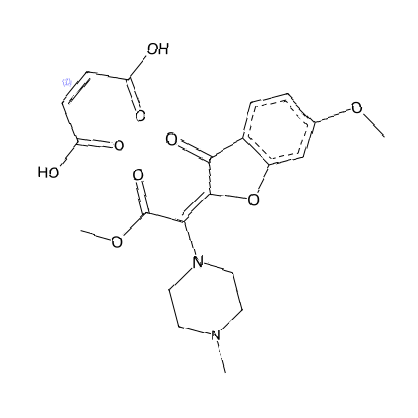 COC(=O)C(=C1Oc2cc(OC)ccc2C1=O)N1CCN(C)CC1.O=C(O)/C=C\C(=O)O